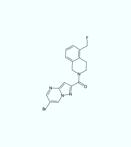 O=C(c1cc2ncc(Br)cn2n1)N1CCc2c(CF)cccc2C1